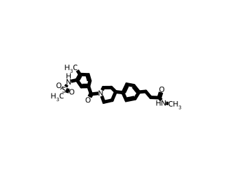 CNC(=O)CCc1ccc(C2CCN(C(=O)c3ccc(C)c(NS(C)(=O)=O)c3)CC2)cc1